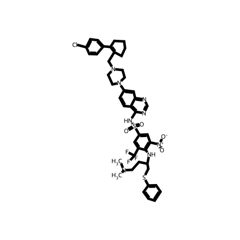 CN(C)CCC(CSc1ccccc1)Nc1c([N+](=O)[O-])cc(S(=O)(=O)Nc2ncnc3cc(N4CCN(CC5=C(c6ccc(Cl)cc6)CCCC5)CC4)ccc23)cc1C(F)(F)F